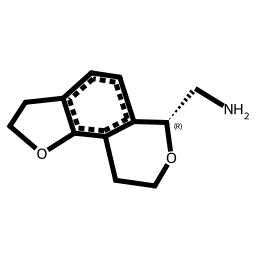 NC[C@@H]1OCCc2c1ccc1c2OCC1